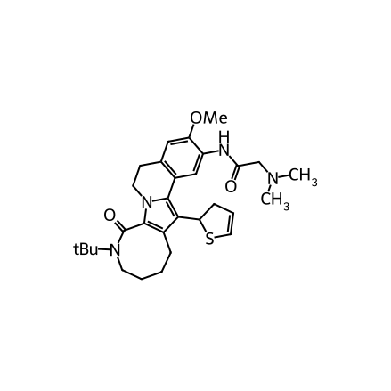 COc1cc2c(cc1NC(=O)CN(C)C)-c1c(C3CC=CS3)c3c(n1CC2)C(=O)N(C(C)(C)C)CCCC3